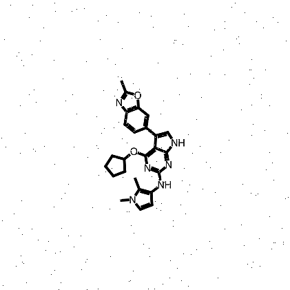 Cc1nc2ccc(-c3c[nH]c4nc(Nc5ccn(C)c5C)nc(OC5CCCC5)c34)cc2o1